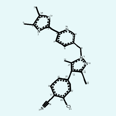 Cc1nc(-c2ccc(Cn3nc(C)c(-c4ccc(C#N)c(Cl)c4)c3C)cn2)sc1C